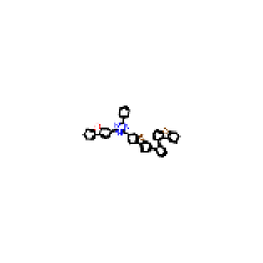 c1ccc(-c2nc(-c3ccc4c(c3)oc3ccccc34)nc(-c3ccc4c(c3)sc3cc(-c5ccccc5-c5cccc6sc7ccccc7c56)ccc34)n2)cc1